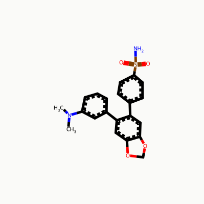 CN(C)c1cccc(-c2cc3c(cc2-c2ccc(S(N)(=O)=O)cc2)OCO3)c1